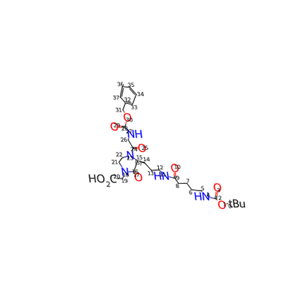 CC(C)(C)OC(=O)NCCCCC(=O)NCCC[C@H]1C(=O)N(CC(=O)O)CCN1C(=O)CNC(=O)OCc1ccccc1